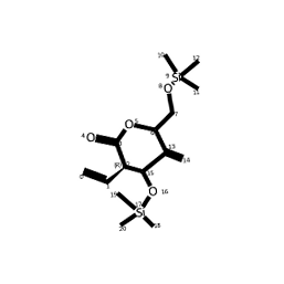 C=C[C@H]1C(=O)OC(CO[Si](C)(C)C)C(=C)C1O[Si](C)(C)C